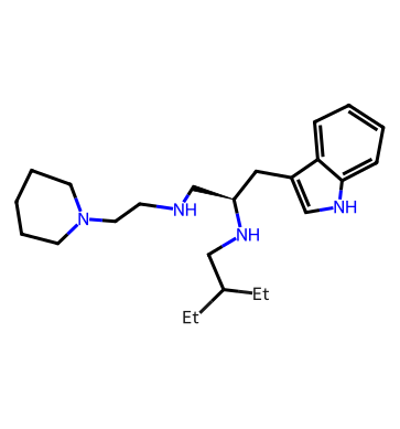 CCC(CC)CN[C@@H](CNCCN1CCCCC1)Cc1c[nH]c2ccccc12